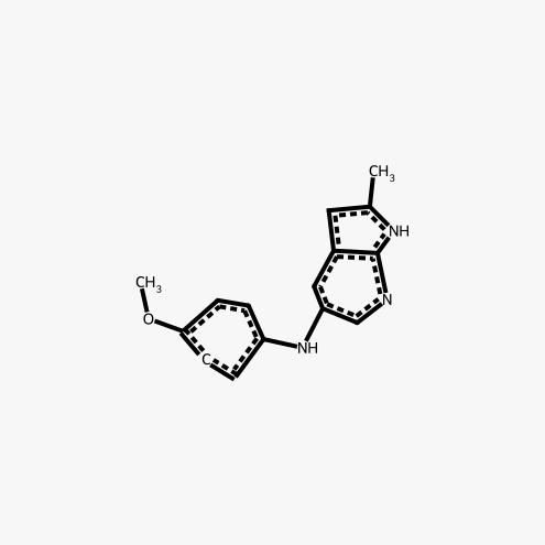 COc1ccc(Nc2cnc3[nH]c(C)cc3c2)cc1